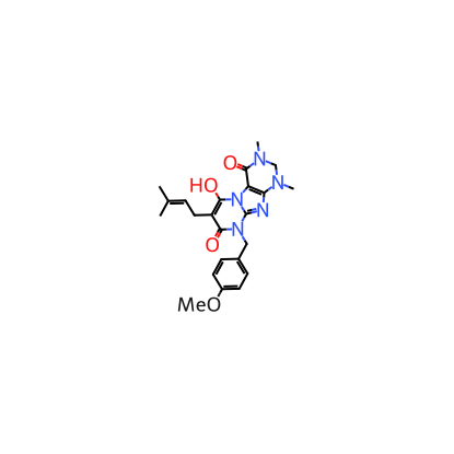 COc1ccc(Cn2c(=O)c(CC=C(C)C)c(O)n3c4c(nc23)N(C)CN(C)C4=O)cc1